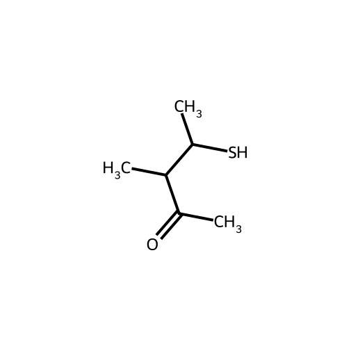 CC(=O)C(C)C(C)S